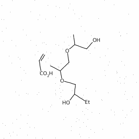 C=CC(=O)O.CCC(O)COC(C)COC(C)CO